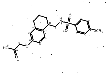 Cc1ccc(S(=O)(=O)NCC2CCCc3cc(OCC(=O)O)ccc32)cc1